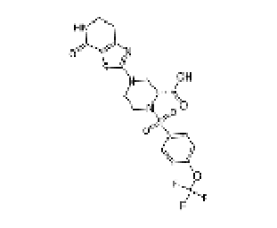 O=C1NCCc2nc(N3CCN(S(=O)(=O)c4ccc(OC(F)(F)F)cc4)[C@@H](C(=O)O)C3)sc21